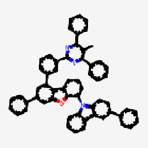 Cc1c(-c2ccccc2)nc(-c2cccc(-c3cc(-c4ccccc4)cc4oc5c(-n6c7ccccc7c7cc(-c8ccccc8)ccc76)cccc5c34)c2)nc1-c1ccccc1